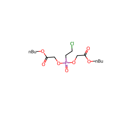 CCCCOC(=O)COP(=O)(CCCl)OCC(=O)OCCCC